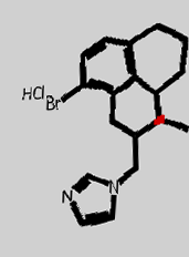 CCC12CCCc3ccc(Br)c(c31)CC(Cn1ccnc1)C2.Cl